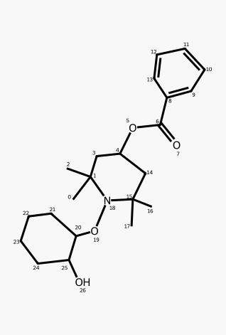 CC1(C)CC(OC(=O)c2ccccc2)CC(C)(C)N1OC1CCCCC1O